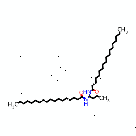 CCCCCCCCCCCCCCCCCC(=O)NC(CCC)NC(=O)CCCCCCCCCCCCCCCCC